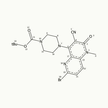 Cn1c(=O)c(C#N)c(N2CCN(C(=O)OC(C)(C)C)CC2)c2nc(Br)ccc21